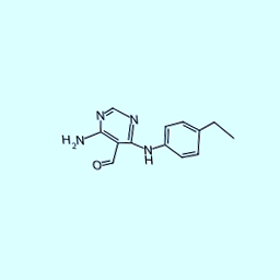 CCc1ccc(Nc2ncnc(N)c2C=O)cc1